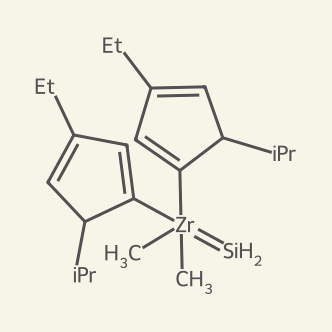 CCC1=CC(C(C)C)[C]([Zr]([CH3])([CH3])(=[SiH2])[C]2=CC(CC)=CC2C(C)C)=C1